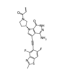 C=CC(=O)N1CC[C@H](n2cc(C#Cc3c(F)cc4sc(C)nc4c3F)c3c(N)n[nH]c(=O)c32)C1